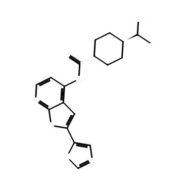 CC(N)[C@H]1CC[C@H](C(=O)Nc2ccnc3[nH]c(-c4cncs4)cc23)CC1